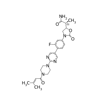 CC(C)=CC(=O)N1CCN(c2ncc(-c3ccc(N4CC([C@H](C)C(N)=O)OC4=O)cc3F)cn2)CC1